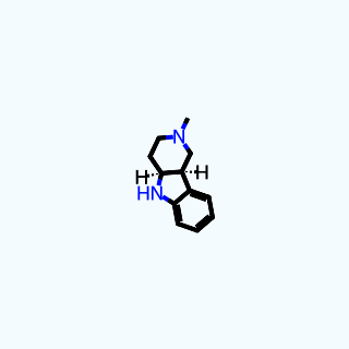 CN1CC[C@@H]2Nc3ccccc3[C@@H]2C1